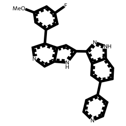 COc1cc(F)cc(-c2cncc3[nH]c(-c4n[nH]c5ccc(-c6ccncc6)cc45)cc23)c1